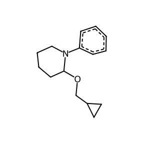 c1ccc(N2CCCCC2OCC2CC2)cc1